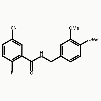 COc1ccc(CNC(=O)c2cc(C#N)ccc2F)cc1OC